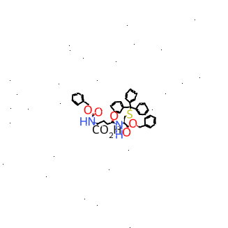 O=C(CC[C@H](NC(=O)OCc1ccccc1)C(=O)O)N[C@@H](CSC(c1ccccc1)(c1ccccc1)c1ccccc1)C(=O)OCc1ccccc1